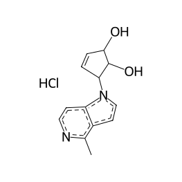 Cc1nccc2c1ccn2C1C=CC(O)C1O.Cl